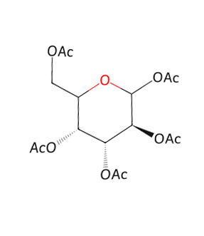 CC(=O)OCC1OC(OC(C)=O)[C@@H](OC(C)=O)[C@H](OC(C)=O)[C@@H]1OC(C)=O